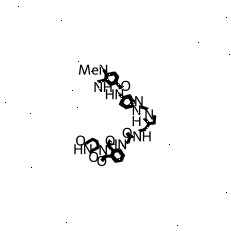 CNc1ccc(C(=O)Nc2ccc3[nH]c(CN4CCC(CCNC(=O)CNc5cccc6c5C(=O)N(C5CCC(=O)NC5=O)C6=O)C4)nc3c2)cc1C=N